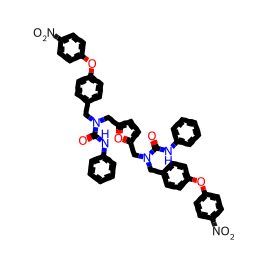 O=C(Nc1ccccc1)N(Cc1ccc(Oc2ccc([N+](=O)[O-])cc2)cc1)Cc1ccc(CN(Cc2ccc(Oc3ccc([N+](=O)[O-])cc3)cc2)C(=O)Nc2ccccc2)o1